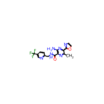 Cc1nc(C(=O)NCc2ccc(C(F)(F)F)cn2)c(N)nc1-c1ncco1